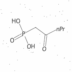 CCCC(=O)CP(=O)(O)O